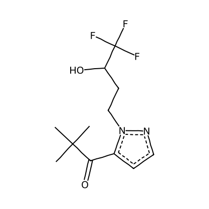 CC(C)(C)C(=O)c1ccnn1CCC(O)C(F)(F)F